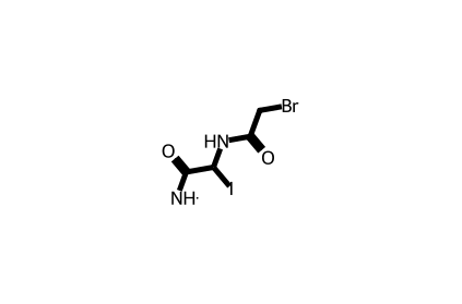 [NH]C(=O)C(I)NC(=O)CBr